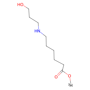 [2H]OC(=O)CCCCCNCCCO